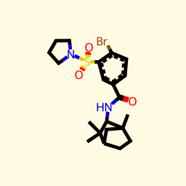 CC12CCC(C1)C(C)(C)C2NC(=O)c1ccc(Br)c(S(=O)(=O)N2CCCC2)c1